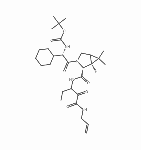 C=CCNC(=O)C(=O)C(CC)NC(=O)[C@@H]1[C@@H]2C(CN1C(=O)[C@@H](NC(=O)OC(C)(C)C)C1CCCCC1)C2(C)C